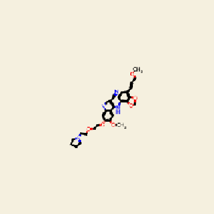 COCC#Cc1ccc(Nc2c(C#N)cnc3cc(OCCOCCN4CCCC4)c(OC)cc23)c2c1OCO2